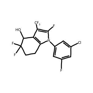 OC1c2c(C(F)(F)F)c(F)n(-c3cc(F)cc(Cl)c3)c2CCC1(F)F